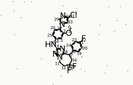 COc1cc(Nc2nc3n(n2)CCC(F)(F)CC3c2ccc(F)cc2)ccc1-n1cnc(Cl)c1